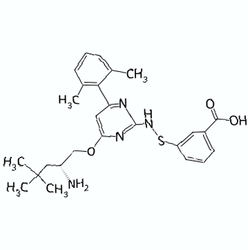 Cc1cccc(C)c1-c1cc(OC[C@H](N)CC(C)(C)C)nc(NSc2cccc(C(=O)O)c2)n1